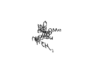 C=CCC[C@@H]1[C@H]2C[C@H]2C[C@H]1OC(=O)N[C@H](C(=O)N1C[C@H](Oc2nc3ccccc3nc2C(F)(F)C=C)C[C@H]1C(=O)OC)C(C)(C)C